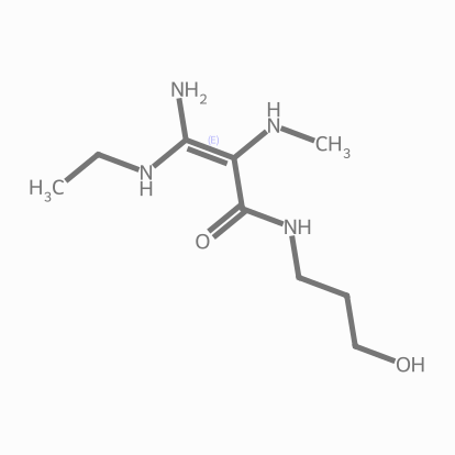 CCN/C(N)=C(/NC)C(=O)NCCCO